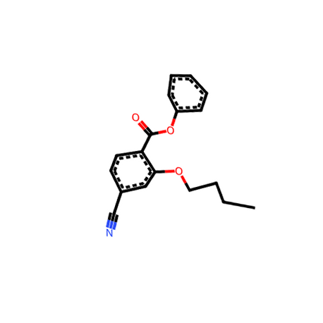 CCCCOc1cc(C#N)ccc1C(=O)Oc1ccccc1